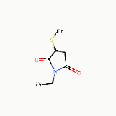 CC(C)CN1C(=O)CC(SC(C)C)C1=O